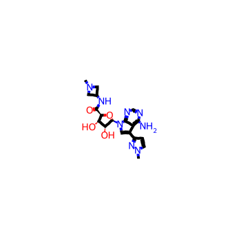 CN1CC(NC(=O)[C@H]2O[C@@H](n3cc(-c4ccn(C)n4)c4c(N)ncnc43)[C@H](O)[C@@H]2O)C1